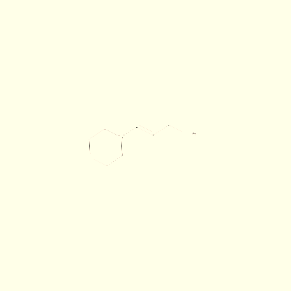 CCCCCCC=CN1CCOCC1